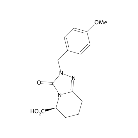 COc1ccc(Cn2nc3n(c2=O)[C@H](C(=O)O)CCC3)cc1